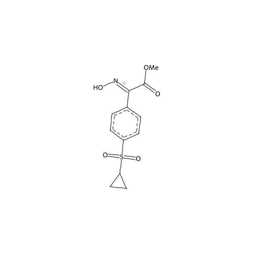 COC(=O)/C(=N/O)c1ccc(S(=O)(=O)C2CC2)cc1